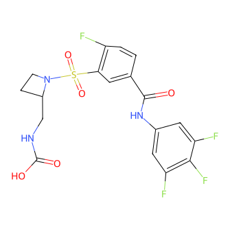 O=C(O)NCC1CCN1S(=O)(=O)c1cc(C(=O)Nc2cc(F)c(F)c(F)c2)ccc1F